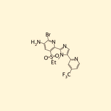 CCS(=O)(=O)c1cc(N)c(Br)nc1-c1ncc(-c2cc(C(F)(F)F)ccn2)n1C